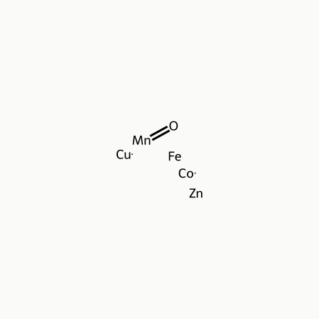 [Co].[Cu].[Fe].[O]=[Mn].[Zn]